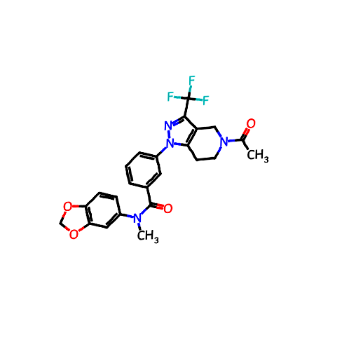 CC(=O)N1CCc2c(c(C(F)(F)F)nn2-c2cccc(C(=O)N(C)c3ccc4c(c3)OCO4)c2)C1